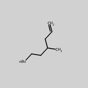 C=CCC(C)CC[CH]CCC